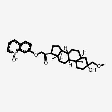 COC[C@@]1(O)CC[C@@]2(C)[C@@H](CC[C@@H]3[C@@H]2CC[C@]2(C)[C@@H](C(=O)COc4ccc5ccc[n+]([O-])c5c4)CC[C@@H]32)C1